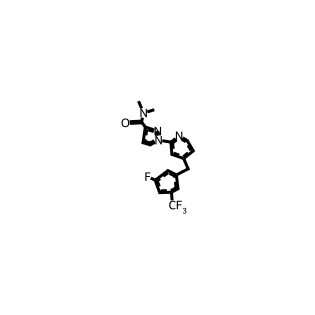 CN(C)C(=O)c1ccn(-c2cc(Cc3cc(F)cc(C(F)(F)F)c3)ccn2)n1